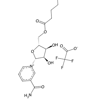 CCCCCCCCCCCCCC(=O)OC[C@H]1O[C@@H]([n+]2cccc(C(N)=O)c2)[C@H](O)[C@@H]1O.O=C([O-])C(F)(F)F